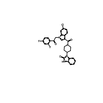 O=C(Cn1cc(C(=O)N2CCC(n3c(=O)[nH]c4ccccc43)CC2)c2ccc(Cl)cc21)c1ccc(F)cc1F